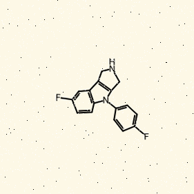 Fc1ccc(-n2c3c(c4cc(F)ccc42)CNC3)cc1